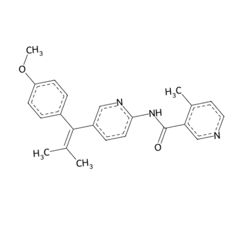 COc1ccc(C(=C(C)C)c2ccc(NC(=O)c3cnccc3C)nc2)cc1